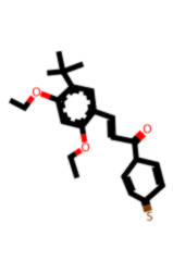 CCOc1cc(OCC)c(C(C)(C)C)cc1/C=C/C(=O)C1C=CC(=S)C=C1